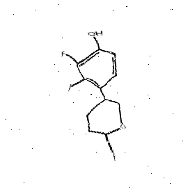 Oc1ccc(C2CCC(I)OC2)c(I)c1F